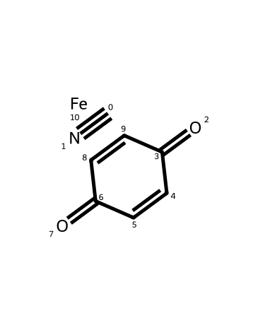 C#N.O=C1C=CC(=O)C=C1.[Fe]